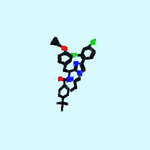 CCCCn1cc(-c2ccc(Cl)cc2Cl)nc1[C@H](Cc1ccc(OC2CC2)cc1)NC(=O)C1CCC(C(C)(C)C)CC1